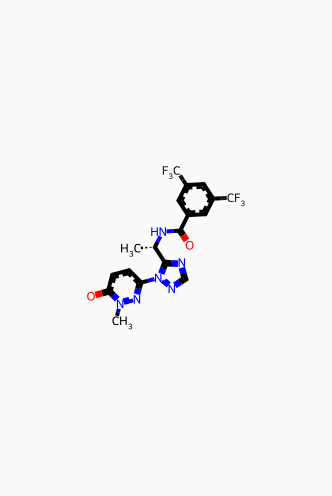 C[C@H](NC(=O)c1cc(C(F)(F)F)cc(C(F)(F)F)c1)c1ncnn1-c1ccc(=O)n(C)n1